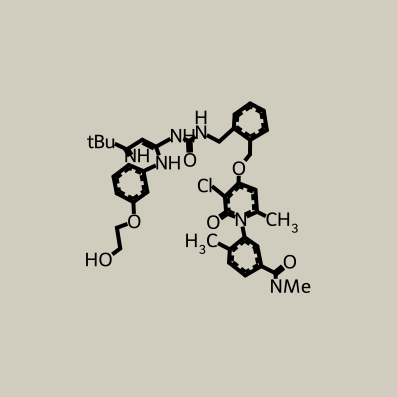 CNC(=O)c1ccc(C)c(-n2c(C)cc(OCc3ccccc3CNC(=O)N/C(=C/C(=N)C(C)(C)C)Nc3cccc(OCCO)c3)c(Cl)c2=O)c1